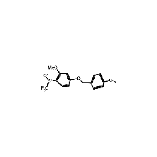 COc1cc(OCc2ccc(C(F)(F)F)cc2)ccc1[S+]([O-])C(F)(F)F